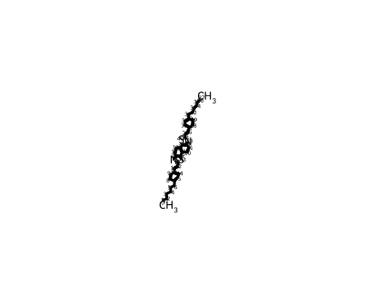 CCCCCCCc1ccc(/C=C/c2nc3ccc4c(ccc5nc(/C=C/c6ccc(CCCCCCC)cc6)sc54)c3s2)cc1